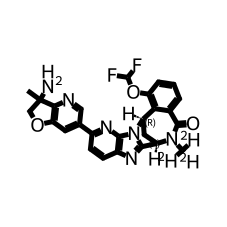 [2H]C([2H])([2H])N1C(=O)c2cccc(OC(F)F)c2[C@H]2C[C@@H]1c1nc3ccc(-c4cnc5c(c4)OCC5(C)N)nc3n12